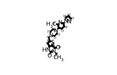 CCn1c(=O)[nH]c2cc(CN3CCN(c4ccc(-n5cccn5)nc4C)CC3)sc2c1=O